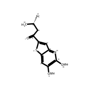 COc1cc2sc(C(=O)C[C@H](C)C(C)=O)cc2nc1OC